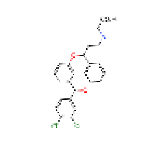 CN(CCC(Oc1cccc(C(=O)c2ccc(Cl)c(Cl)c2)c1)c1ccccc1)CC(=O)O